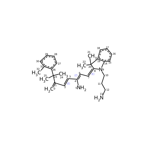 C=C(/C=C/C(N)=C/C=C1/N(CCCN)c2ccccc2C1(C)C)C(C)(C)c1ccccc1C